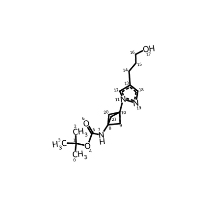 CC(C)(C)OC(=O)NC12CC(n3cc(CCCO)cn3)(C1)C2